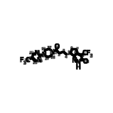 O=C(CCC[C@@H]1CCc2c1n[nH]c(=O)c2C(F)(F)F)N1CCN(c2ncc(C(F)(F)F)cn2)CC1